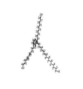 CCCCCCCCCCCCCCCCCc1n(CCCCCCCCCCC)cc[n+]1CCCCCCCCCCC